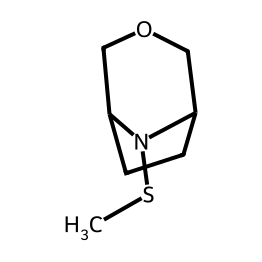 CSN1C2CCC1COC2